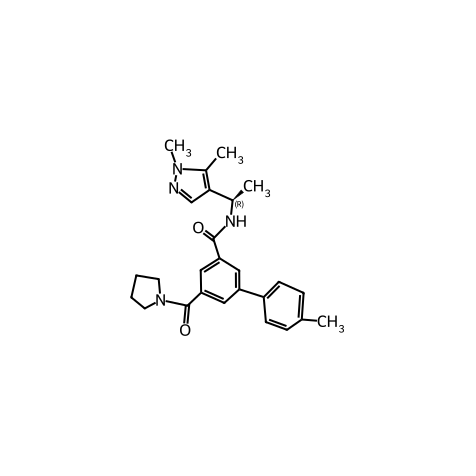 Cc1ccc(-c2cc(C(=O)N[C@H](C)c3cnn(C)c3C)cc(C(=O)N3CCCC3)c2)cc1